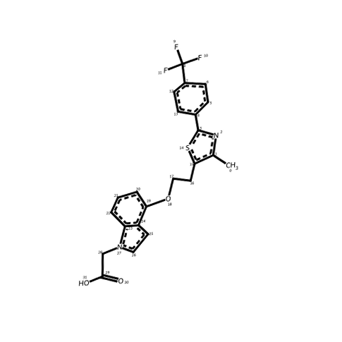 Cc1nc(-c2ccc(C(F)(F)F)cc2)sc1CCOc1cccc2c1ccn2CC(=O)O